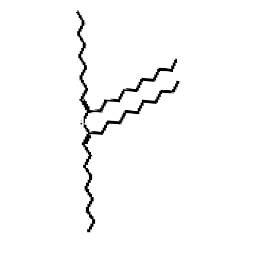 CCCCCCCC/C=C(\CCCCCCCCCC)O/C(=C/CCCCCCCC)CCCCCCCCCC